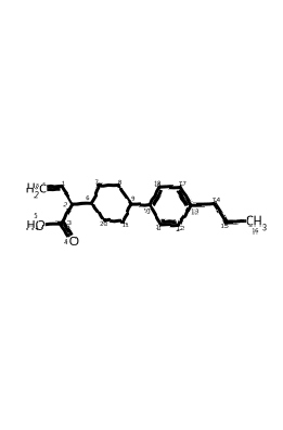 C=CC(C(=O)O)C1CCC(c2ccc(CCC)cc2)CC1